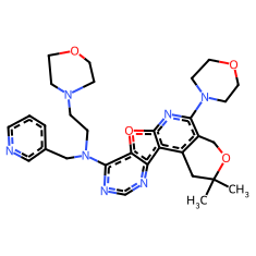 CC1(C)Cc2c(c(N3CCOCC3)nc3oc4c(N(CCN5CCOCC5)Cc5cccnc5)ncnc4c23)CO1